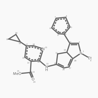 CCN1C=C(c2ccccc2)C2CC(Nc3ncc(C4CC4)cc3C(=O)OC)=CC=C21